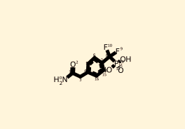 NC(=O)Cc1ccc(C(F)(F)P(=O)(O)O)cc1